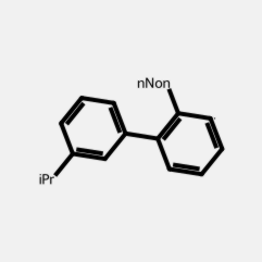 CCCCCCCCCc1[c]cccc1-c1cccc(C(C)C)c1